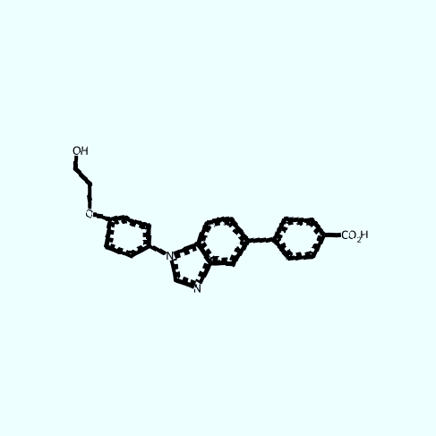 O=C(O)c1ccc(-c2ccc3c(c2)ncn3-c2ccc(OCCO)cc2)cc1